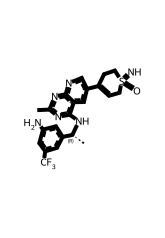 Cc1nc(N[C@H](C)c2cc(N)cc(C(F)(F)F)c2)c2cc(C3=CCS(=N)(=O)CC3)cnc2n1